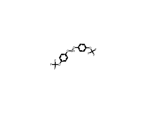 FC(F)(F)Oc1ccc(OBOc2ccc(OC(F)(F)F)cc2)cc1